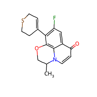 CC1COc2c(C3=CCSCC3)c(F)cc3c(=O)ccn1c23